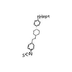 CCCCCCCc1ccc([C@H]2CC[C@H](CCc3ccc(N=C=S)cc3)CC2)cc1